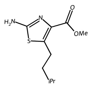 COC(=O)c1nc(N)sc1CCC(C)C